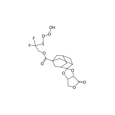 O=C1OCC2OC3(OC12)C1CC2CC3CC(C(=O)OCC(F)(F)SOOO)(C2)C1